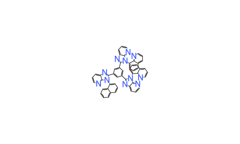 c1ccc2c(-n3c(-c4cc(-c5nc6cccnc6n5-c5cccc6cccnc56)cc(-c5nc6cccnc6n5-c5cccc6cccnc56)c4)nc4cccnc43)cccc2c1